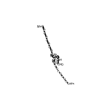 CCc1ccc(NC(=O)CNC=O)cc1C(=O)N(Cc1cn(CCOCCOCCOCCOCCOCCOCCOCCOC)nn1)Cc1cn(CCOCCOCCOCCOCCOCCOCCOCCOC)nn1